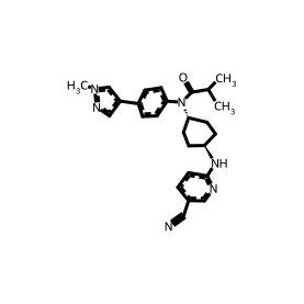 CC(C)C(=O)N(c1ccc(-c2cnn(C)c2)cc1)[C@H]1CC[C@H](Nc2ccc(C#N)cn2)CC1